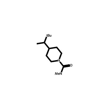 CNC(=O)N1CCC(C(C)C(C)(C)C)CC1